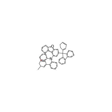 CC1C=C(c2ccccc2N(c2ccccc2)c2cc(C3(C4=CC=CCC4)c4ccccc4-c4ccccc43)cc3oc4ccccc4c23)C=CC1